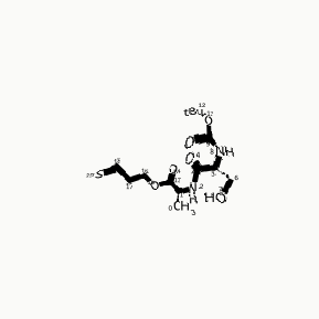 C[C@@H](NC(=O)[C@@H](CO)NC(=O)OC(C)(C)C)C(=O)OCCC=S